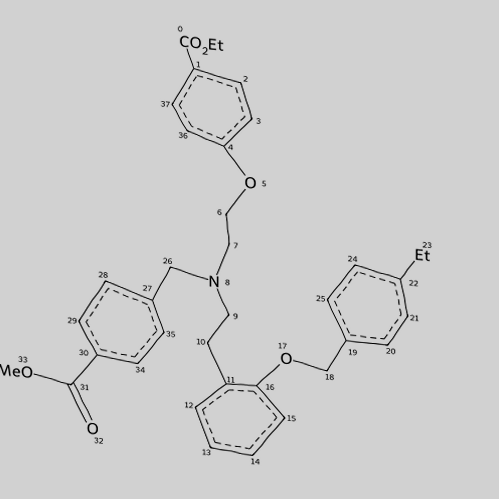 CCOC(=O)c1ccc(OCCN(CCc2ccccc2OCc2ccc(CC)cc2)Cc2ccc(C(=O)OC)cc2)cc1